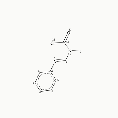 CN(C=Nc1ccccc1)C(=O)Cl